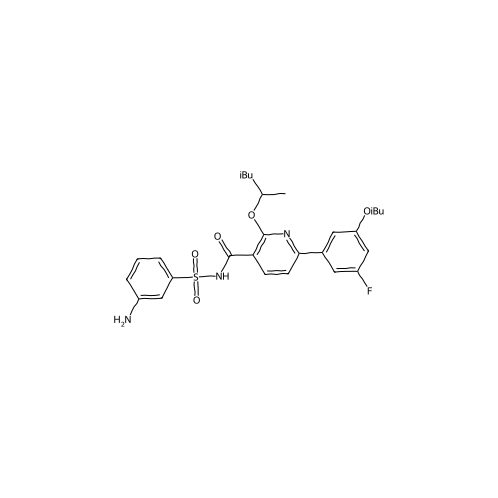 CCC(C)C(C)Oc1nc(-c2cc(F)cc(OCC(C)C)c2)ccc1C(=O)NS(=O)(=O)c1cccc(N)c1